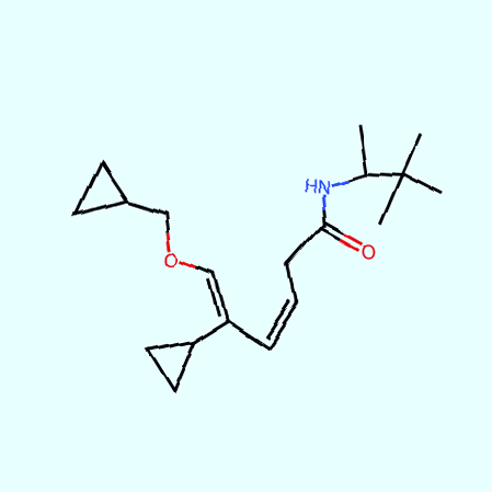 CC(NC(=O)C/C=C\C(=C\OCC1CC1)C1CC1)C(C)(C)C